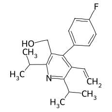 C=Cc1c(C(C)C)nc(C(C)C)c(CO)c1-c1ccc(F)cc1